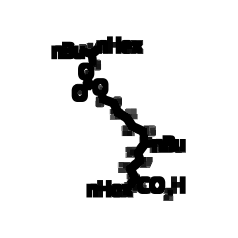 CCCCCCC(CCCC)COC(=O)OCCCCCCC(CCCC)CCCC(CCCCCC)C(=O)O